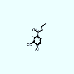 CCCC(Cl)c1ccc(Cl)c(Cl)c1